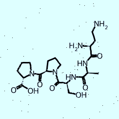 C[C@H](NC(=O)[C@@H](N)CCN)C(=O)N[C@@H](CO)C(=O)N1CCC[C@@H]1C(=O)N1CCC[C@H]1C(=O)O